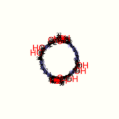 C\C1=C/C=C/C=C/C=C/c2cccc(O)c2C(=O)O[C@@H](C[C@@H](C)O)C[C@@H](O)C/C=C/[C@@H](O)C[C@@H](O)CC(C)/C=C/C=C/C=C/C=C/c2cccc(O)c2C(=O)O[C@@H](C[C@@H](C)O)C[C@@H](O)C/C=C/[C@@H](O)C[C@@H](O)C1